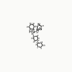 c1ccc(-c2ccc(C[SiH](Cn3cncn3)c3ccccc3)cc2)cc1